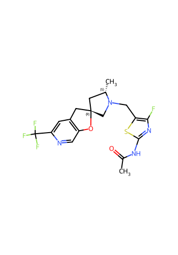 CC(=O)Nc1nc(F)c(CN2C[C@@]3(Cc4cc(C(F)(F)F)ncc4O3)C[C@@H]2C)s1